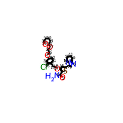 NC(=O)c1sc(-c2cnc3ccccn23)cc1OCCc1ccc(OCCOC2CCCCO2)cc1Cl